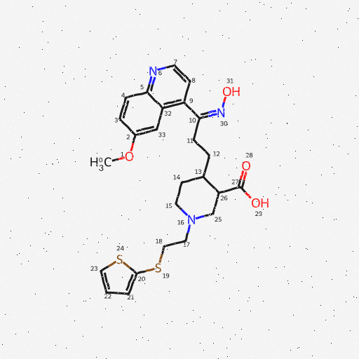 COc1ccc2nccc(/C(CCC3CCN(CCSc4cccs4)CC3C(=O)O)=N\O)c2c1